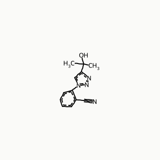 CC(C)(O)c1cn(-c2ccccc2C#N)nn1